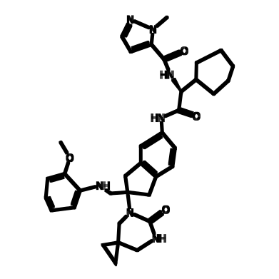 COc1ccccc1NCC1(N2CC3(CC3)CNC2=O)Cc2ccc(NC(=O)[C@@H](NC(=O)c3ccnn3C)C3CCCCC3)cc2C1